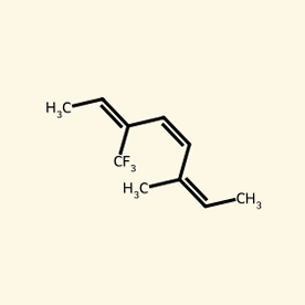 C\C=C(C)/C=C\C(=C\C)C(F)(F)F